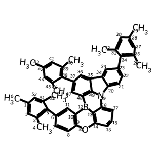 Cc1cc(C)c(-c2ccc3c(c2)B2c4c(cccc4-n4c5ccc(-c6c(C)cc(C)cc6C)cc5c5cc(-c6c(C)cc(C)cc6C)cc2c54)O3)c(C)c1